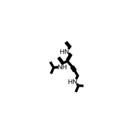 C=CN/C=C(/C#CCNC(C)C)C(=C)NC(C)C